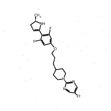 CCc1cnc(N2CCC(CCCOc3cc(F)c(C4=CC[C@@H](C)N4)c(F)c3)CC2)nc1